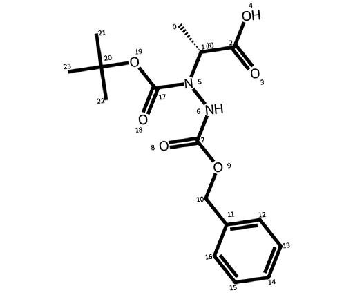 C[C@H](C(=O)O)N(NC(=O)OCc1ccccc1)C(=O)OC(C)(C)C